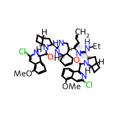 C=C/C=C(/N=C(\NCC)[C@@H]1C[C@H]2CC[C@H]2N1C(=O)c1nc(Cl)cc2c(OC)cccc12)[C@@H]1CNC([C@@H]2C[C@H]3CC[C@H]3N2C(=O)c2nc(Cl)cc3c(OC)cccc23)=N[C@@H]2CC=CCC21